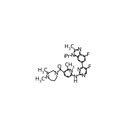 Cc1nc(Nc2ncc(F)c(-c3cc(F)c4nc(C)n(C(C)C)c4c3)n2)ccc1C(=O)N1CCCN(C)[C@@H](C)C1